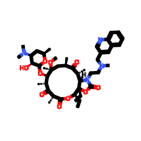 CC[C@H]1OC(=O)[C@H](C)C(=O)[C@H](C)[C@@H](OC2O[C@H](C)C[C@H](N(C)C)[C@H]2O)[C@@](C)(OC)C[C@@H](C)C(=O)[C@H](C)[C@H]2N(CCN(C)Cc3cnc4ccccc4c3)C(=O)O[C@]12CC